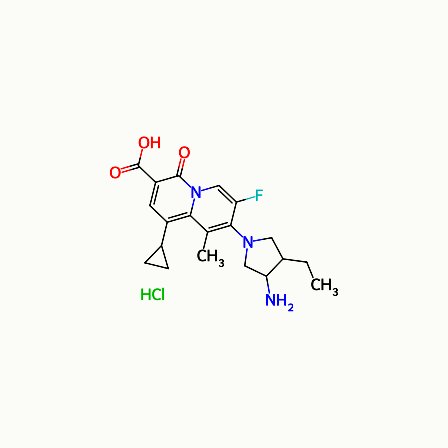 CCC1CN(c2c(F)cn3c(=O)c(C(=O)O)cc(C4CC4)c3c2C)CC1N.Cl